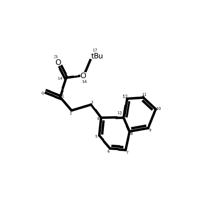 C=C(CCc1cccc2ccccc12)C(=O)OC(C)(C)C